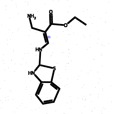 CCOC(=O)/C(=C/NC1Nc2ccccc2S1)CN